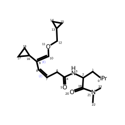 CC(C)CC(NC(=O)C/C=C\C(=C\OCC1CC1)C1CC1)C(=O)N(C)C